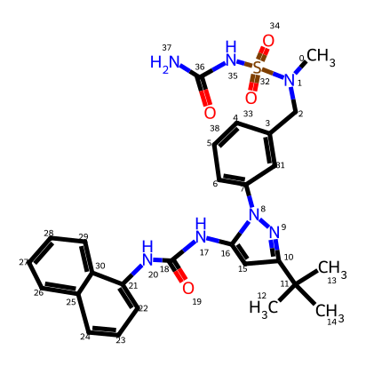 CN(Cc1cccc(-n2nc(C(C)(C)C)cc2NC(=O)Nc2cccc3ccccc23)c1)S(=O)(=O)NC(N)=O